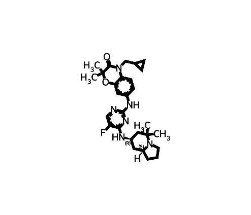 CC1(C)Oc2cc(Nc3ncc(F)c(N[C@@H]4C[C@@H]5CCCN5C(C)(C)C4)n3)ccc2N(CC2CC2)C1=O